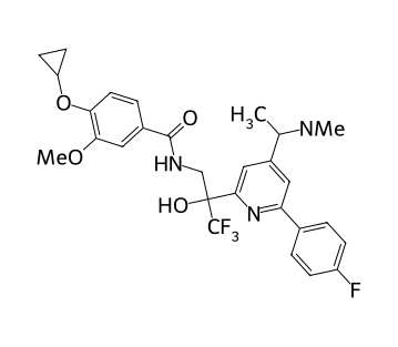 CNC(C)c1cc(-c2ccc(F)cc2)nc(C(O)(CNC(=O)c2ccc(OC3CC3)c(OC)c2)C(F)(F)F)c1